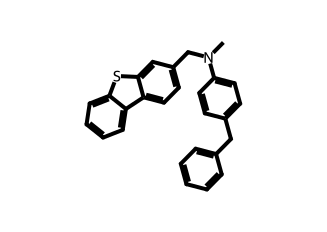 CN(Cc1ccc2c(c1)sc1ccccc12)c1ccc(Cc2ccccc2)cc1